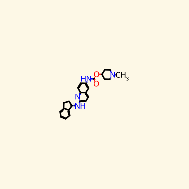 CN1CCC(OC(=O)Nc2ccc3nc(N[C@@H]4CCc5ccccc54)ccc3c2)CC1